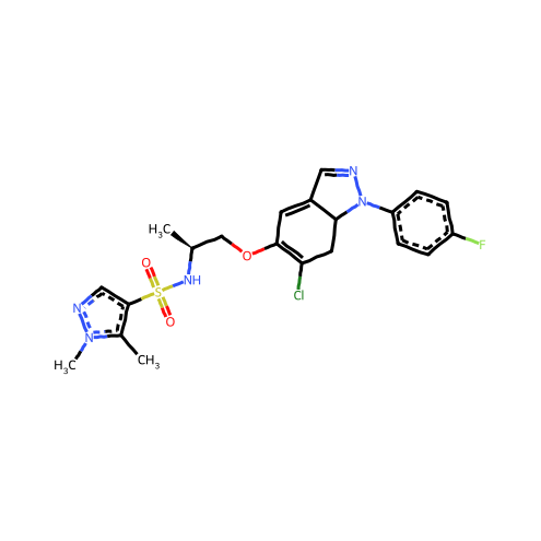 Cc1c(S(=O)(=O)N[C@@H](C)COC2=C(Cl)CC3C(=C2)C=NN3c2ccc(F)cc2)cnn1C